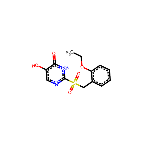 O=c1[nH]c(S(=O)(=O)Cc2ccccc2OCC(F)(F)F)ncc1O